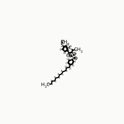 CCCCCCCCCCCCc1ccc(S(=O)(=O)OC(C(=O)c2ccc(SC)cc2)C(C)C)cc1